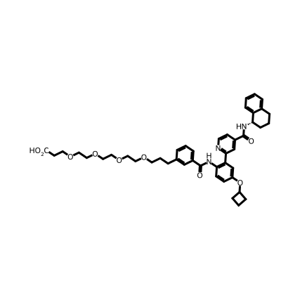 O=C(O)CCOCCOCCOCCOCCCc1cccc(C(=O)Nc2ccc(OC3CCC3)cc2-c2cc(C(=O)N[C@H]3CCCc4ccccc43)ccn2)c1